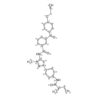 C#CCOc1ccc(C(=O)c2cccc(C(=O)Nc3cc(-c4ccc(NC(=O)C(=C)C=C)cc4)nn3C)c2)cc1